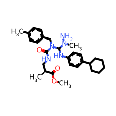 COC(=O)[C@@H](C)CNC(=O)N(Cc1ccc(C)cc1)C(Nc1ccc(C2CCCCC2)cc1)N(C)N